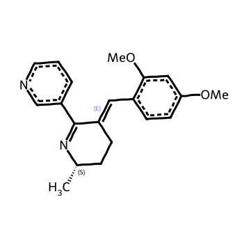 COc1ccc(/C=C2\CC[C@H](C)N=C2c2cccnc2)c(OC)c1